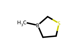 CB1CCSC1